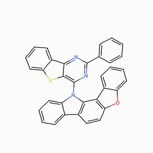 c1ccc(-c2nc(-n3c4ccccc4c4ccc5oc6ccccc6c5c43)c3sc4ccccc4c3n2)cc1